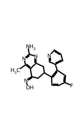 Cc1nc(N)nc2c1/C(=N/O)CC(c1ccc(F)cc1-c1cccnc1)C2